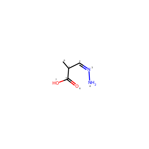 CC(/C=N\N)C(=O)O